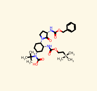 CC(C)(C)N(C(=O)O)[C@@H]1CC[C@H](N2CC[C@H](NC(=O)OCc3ccccc3)C2=O)[C@H](NC(=O)OCC[Si](C)(C)C)C1